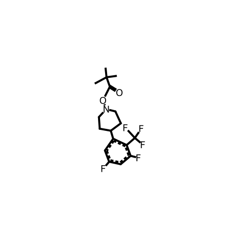 CC(C)(C)C(=O)ON1CCC(c2cc(F)cc(F)c2C(F)(F)F)CC1